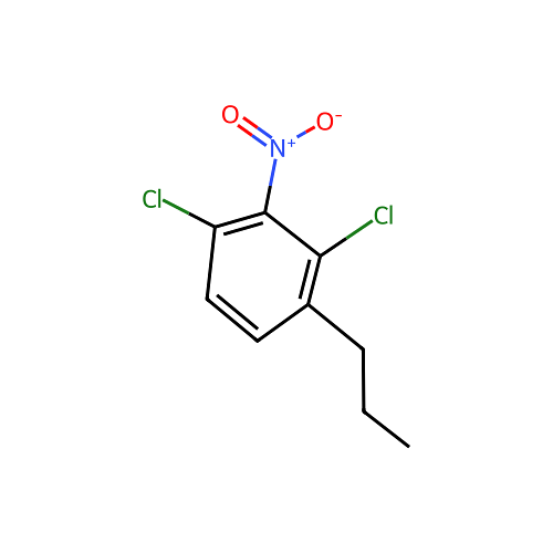 CCCc1ccc(Cl)c([N+](=O)[O-])c1Cl